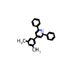 Cc1cc(C)cc(-c2cc(-c3ccccc3)nc(-c3ccccc3)c2)c1